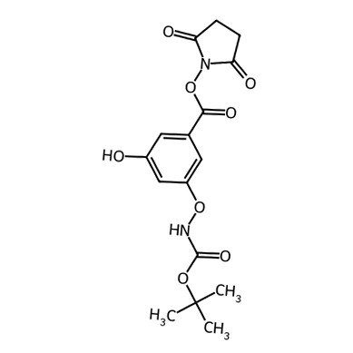 CC(C)(C)OC(=O)NOc1cc(O)cc(C(=O)ON2C(=O)CCC2=O)c1